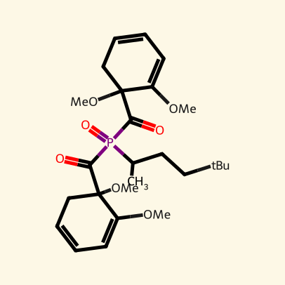 COC1=CC=CCC1(OC)C(=O)P(=O)(C(=O)C1(OC)CC=CC=C1OC)C(C)CCC(C)(C)C